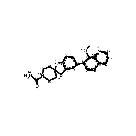 COc1c(-c2ccc3c(c2)CC2(CCN(C(N)=O)CC2)O3)ccc2cccnc12